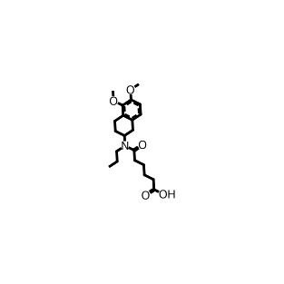 CCCN(C(=O)CCCCC(=O)O)C1CCc2c(ccc(OC)c2OC)C1